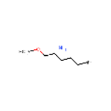 CC(C)CCCCCOS(=O)(=O)O.N